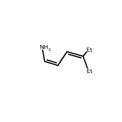 CCC(=C/C=C\N)CC